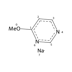 COc1ccncn1.[Na]